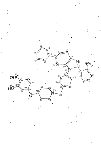 Nc1ncccc1-c1nc2ccc(-c3ccccc3)nc2n1-c1ccc(CN2CCC(Oc3ccc(C=O)c(O)c3)CC2)cc1